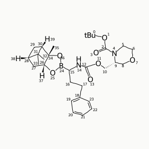 CC(C)(C)OC(=O)N1CCOC[C@@H]1COC(=O)NC(CCc1ccccc1)B1O[C@@H]2C[C@@H]3C[C@@H](C3(C)C)[C@]2(C)O1